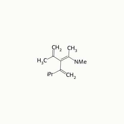 C=C(C)/C(C(=C)C(C)C)=C(\C)NC